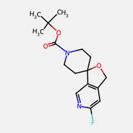 CC(C)(C)OC(=O)N1CCC2(CC1)OCc1cc(F)ncc12